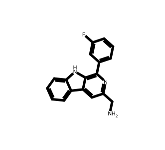 NCc1cc2c([nH]c3ccccc32)c(-c2cccc(F)c2)n1